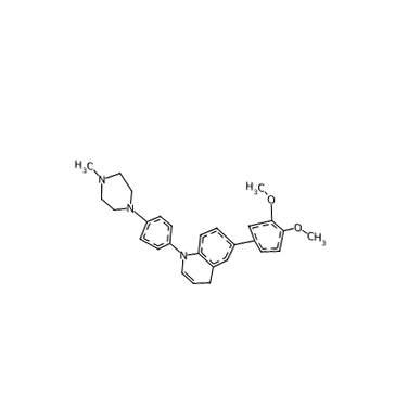 COc1ccc(-c2ccc3c(c2)CC=CN3c2ccc(N3CCN(C)CC3)cc2)cc1OC